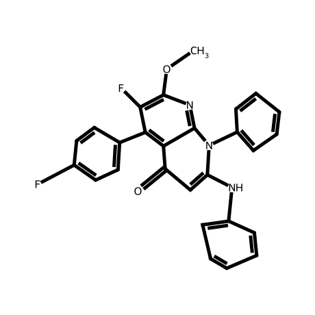 COc1nc2c(c(-c3ccc(F)cc3)c1F)c(=O)cc(Nc1ccccc1)n2-c1ccccc1